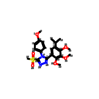 COc1ccc(-n2c(-c3cc(C(C)C)c(OC)c(OC)c3OC)nnc2S(C)(=O)=O)cc1